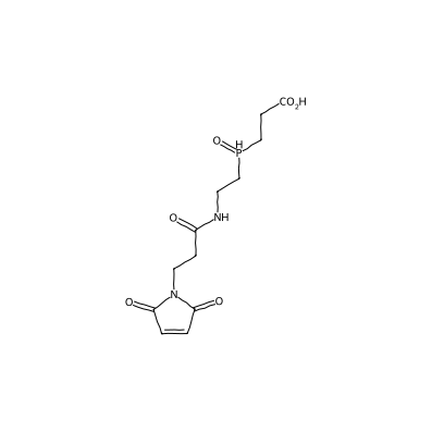 O=C(O)CC[PH](=O)CCNC(=O)CCN1C(=O)C=CC1=O